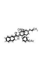 C=CCN1CC[C@@]2(c3cccc(OC(C)=O)c3)C[C@H](NC(=O)c3ccc4ccccc4c3)CC[C@]2(OC)C1